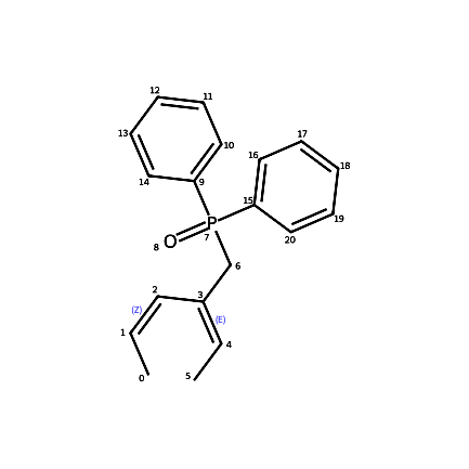 C/C=C\C(=C/C)CP(=O)(c1ccccc1)c1ccccc1